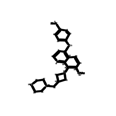 CNc1ccc(Oc2ccnc3c(N4CC(CN5CCOCC5)C4)c(OC)ccc23)cc1